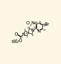 CC(C)(C)OC(=O)N1CC2(C1)CN(c1ncc(Br)cc1[N+](=O)[O-])C2